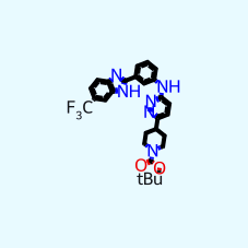 CC(C)(C)OC(=O)N1CCC(c2ccc(Nc3cccc(-c4nc5ccc(C(F)(F)F)cc5[nH]4)c3)nn2)CC1